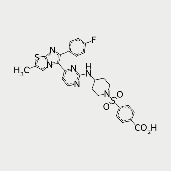 Cc1cn2c(-c3ccnc(NC4CCN(S(=O)(=O)c5ccc(C(=O)O)cc5)CC4)n3)c(-c3ccc(F)cc3)nc2s1